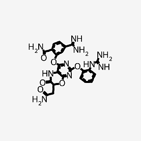 N=C(N)Nc1ccccc1Oc1nc(Oc2cc(C(=N)N)ccc2C(N)=O)c2c(n1)OC(CC(N)=O)C(=O)N2